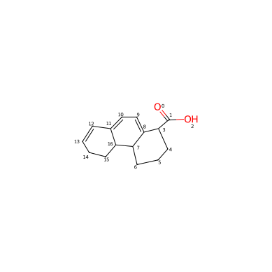 O=C(O)C1CCCC2C1=CC=C1C=CCCC12